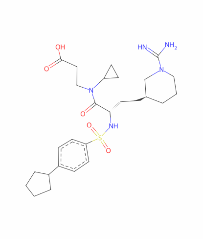 N=C(N)N1CCC[C@@H](CC[C@H](NS(=O)(=O)c2ccc(C3CCCC3)cc2)C(=O)N(CCC(=O)O)C2CC2)C1